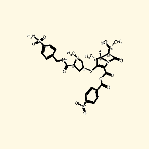 C[C@@H](O)[C@H]1C(=O)N2C(C(=O)OC(=O)c3ccc([N+](=O)[O-])cc3)=C(S[C@H]3C[C@@H](C(=O)NCc4ccc(S(N)(=O)=O)cc4)N(C)C3)[C@H](C)[C@H]12